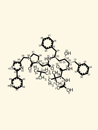 CC(C)(C)[C@H](NC(=O)O)C(=O)N[C@@H](Cc1ccccc1)[C@@H](O)C[C@H](Cc1ccccc1)NC(=O)[C@@H](N1CCN(Cc2csc(-c3cccnc3)n2)C1=O)C(C)(C)C